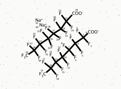 O=C([O-])C(F)(F)C(F)(F)C(F)(F)C(F)(F)C(F)(F)C(F)(F)C(F)(F)F.O=C([O-])C(F)(F)C(F)(F)C(F)(F)C(F)(F)C(F)(F)C(F)(F)C(F)(F)F.[Na+].[Na+]